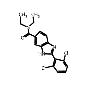 CCN(CC)C(=O)c1ccc2nc(-c3c(Cl)cccc3Cl)[nH]c2c1